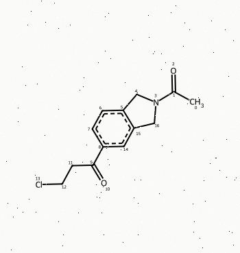 CC(=O)N1Cc2ccc(C(=O)CCCl)cc2C1